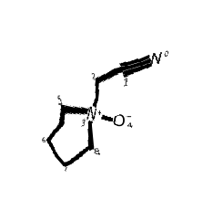 N#CC[N+]1([O-])CCCC1